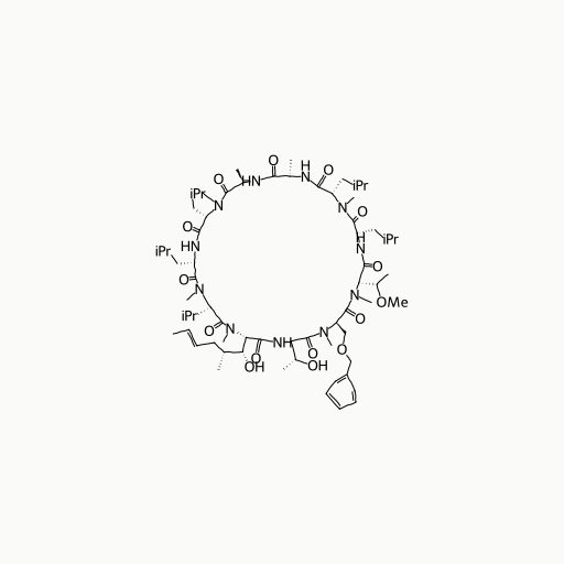 CC=CC[C@@H](C)[C@@H](O)[C@H]1C(=O)N[C@@H]([C@@H](C)O)C(=O)N(C)[C@H](COCc2ccccc2)C(=O)N(C)[C@@H](C(C)OC)C(=O)N[C@@H](CC(C)C)C(=O)N(C)[C@@H](CC(C)C)C(=O)N[C@@H](C)C(=O)N[C@H](C)C(=O)N(C)[C@@H](CC(C)C)C(=O)N[C@@H](CC(C)C)C(=O)N(C)[C@@H](C(C)C)C(=O)N1C